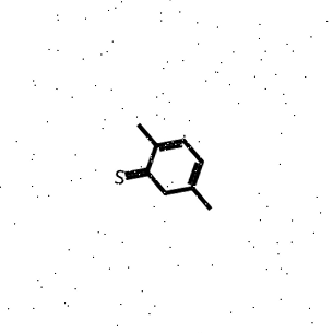 CC1=[C]C=C(C)CC1=S